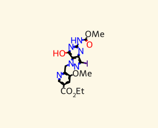 CCOC(=O)c1cnc(Cn2nc(I)c3nc(NC(=O)OC)nc(O)c32)c(OC)c1